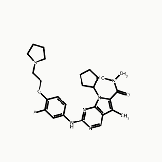 Cc1c(C(=O)N(C)C)n(C2CCCC2)c2nc(Nc3ccc(OCCN4CCCC4)c(F)c3)ncc12